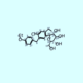 CCOc1ccc(Cc2cc3c(cc2Cl)CC[C@]32O[C@H](CO)[C@@H](O)[C@H](O)[C@H]2O)cc1